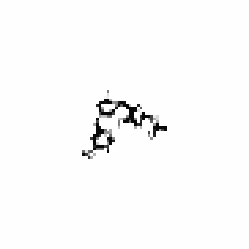 COc1cc(C[C@@H]2C[C@@H](C)N(Cc3sc(NC(C)=O)nc3F)C2)ncn1